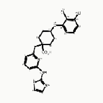 O=C(O)C1(Cc2cccc(Nc3nccs3)n2)CCC(Oc2cccc(Cl)c2Cl)CC1